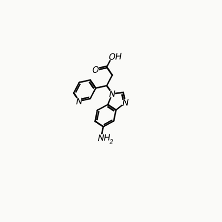 Nc1ccc2c(c1)ncn2C(CC(=O)O)c1cccnc1